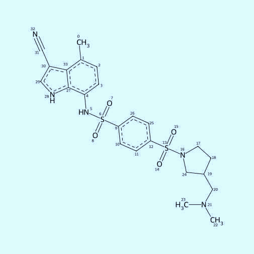 Cc1ccc(NS(=O)(=O)c2ccc(S(=O)(=O)N3CCC(CN(C)C)C3)cc2)c2[nH]cc(C#N)c12